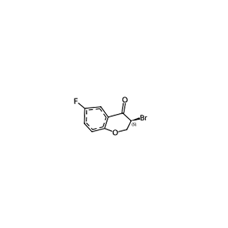 O=C1c2cc(F)ccc2OC[C@@H]1Br